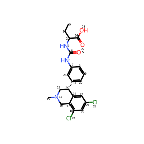 CCC(NC(=O)Nc1cccc([C@H]2CN(C)Cc3c(Cl)cc(Cl)cc32)c1)C(=O)O